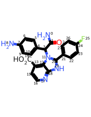 NC(=O)C(c1ccc(N)cc1)N1c2c(C(=O)O)ccnc2NC1c1ccc(F)cc1